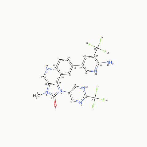 Cn1c(=O)n(-c2cnc(C(F)(F)F)nc2)c2c3cc(-c4cnc(N)c(C(F)(F)F)c4)ccc3ncc21